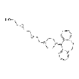 OCCOCCOCCN1CCC(=C2c3ccccc3CCc3ccccc32)CC1